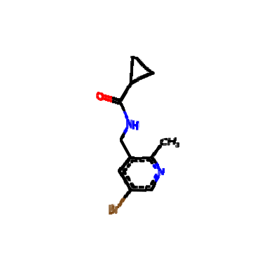 Cc1ncc(Br)cc1CNC(=O)C1CC1